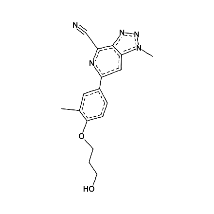 Cc1cc(-c2cc3c(nnn3C)c(C#N)n2)ccc1OCCCO